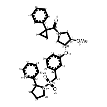 CO[C@@H]1CN(C(=O)C2(c3ccccc3)CC2)C[C@H]1Oc1cccc(CS(=O)(=O)N2CCCC2c2ccccn2)c1